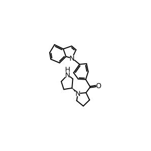 O=C(c1ccc(-n2ccc3ccccc32)cc1)C1CCCN1[C@H]1CCNC1